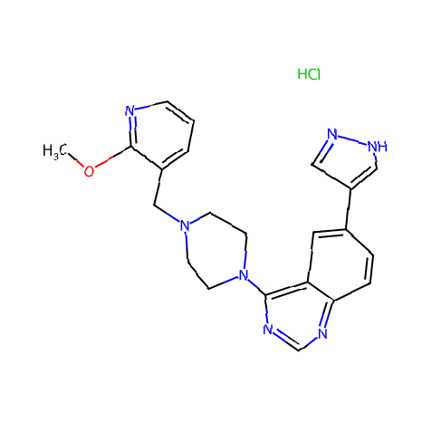 COc1ncccc1CN1CCN(c2ncnc3ccc(-c4cn[nH]c4)cc23)CC1.Cl